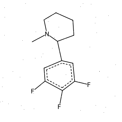 CN1CCCCC1c1cc(F)c(F)c(F)c1